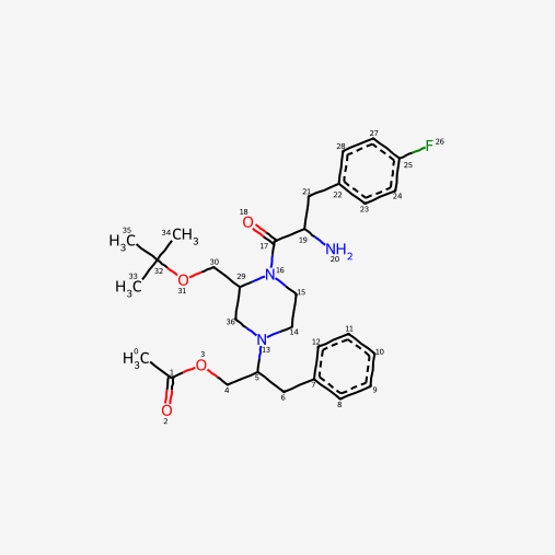 CC(=O)OCC(Cc1ccccc1)N1CCN(C(=O)C(N)Cc2ccc(F)cc2)C(COC(C)(C)C)C1